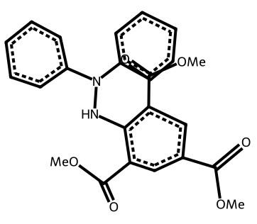 COC(=O)c1cc(C(=O)OC)c(NN(c2ccccc2)c2ccccc2)c(C(=O)OC)c1